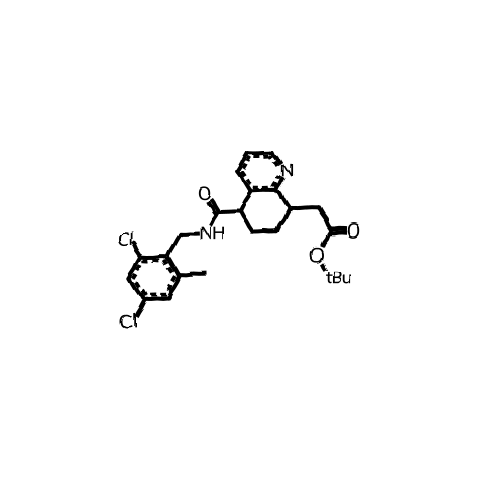 Cc1cc(Cl)cc(Cl)c1CNC(=O)C1CCC(CC(=O)OC(C)(C)C)c2ncccc21